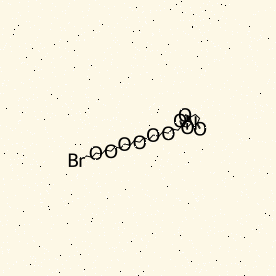 O=C(CCOCCOCCOCCOCCOCCOCCBr)ON1C(=O)CCC1=O